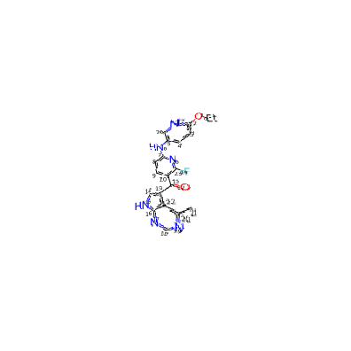 CCOc1ccc(Nc2ccc(C(=O)c3c[nH]c4ncnc(C)c34)c(F)n2)cn1